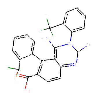 NC1=c2c(-c3ccccc3C(F)(F)F)c(C(=O)O)ccc2=NC(N)N1c1ccccc1C(F)(F)F